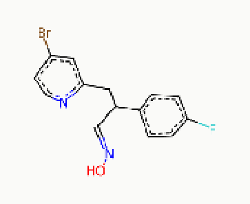 ON=CC(Cc1cc(Br)ccn1)c1ccc(F)cc1